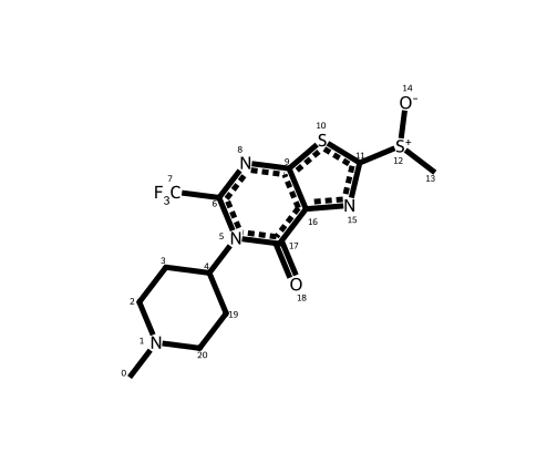 CN1CCC(n2c(C(F)(F)F)nc3sc([S+](C)[O-])nc3c2=O)CC1